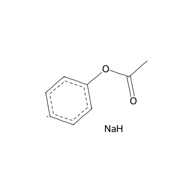 CC(=O)Oc1cc[c]cc1.[NaH]